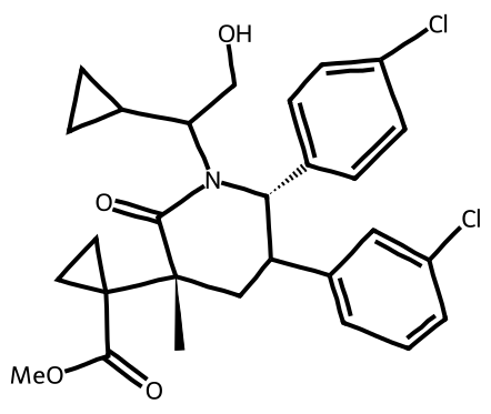 COC(=O)C1([C@@]2(C)CC(c3cccc(Cl)c3)[C@@H](c3ccc(Cl)cc3)N(C(CO)C3CC3)C2=O)CC1